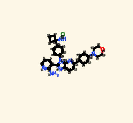 Nc1ncccc1-c1nc2ccc(-c3ccc(N4CCOCC4)cc3)nc2n1-c1ccc(C2(NCl)CCC2)cc1